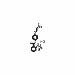 CCNCCOc1ccc(NC(=O)c2ccccc2NS(C)(=O)=O)cc1.Cl